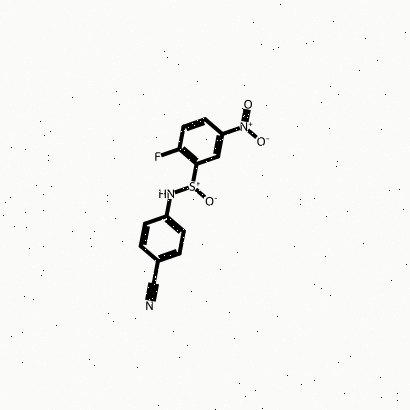 N#Cc1ccc(N[S+]([O-])c2cc([N+](=O)[O-])ccc2F)cc1